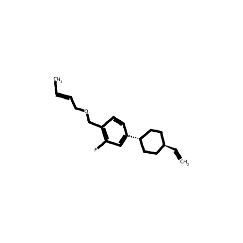 C=C[C@H]1CC[C@H](c2ccc(COCC=CC)c(F)c2)CC1